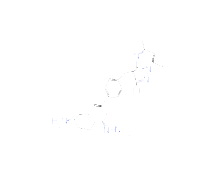 C=C(O/C(=N\N)[C@H]1CC[C@H](N)CC1)c1ccc(Cc2c(CC)nn3c(C)cc(C)nc23)cc1